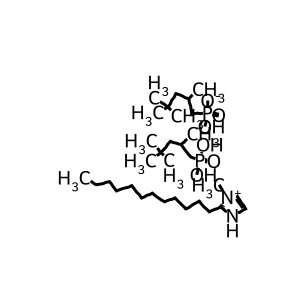 CC(CC(C)(C)C)CP(=O)(O)O.CC(CC(C)(C)C)CP(=O)([O-])O.CCCCCCCCCCCCc1[nH]cc[n+]1C